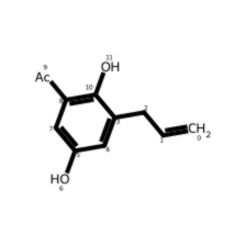 C=CCc1cc(O)cc(C(C)=O)c1O